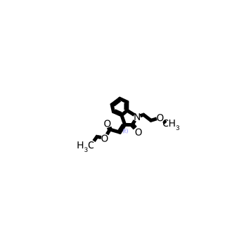 CCOC(=O)/C=C1/C(=O)N(CCOC)c2ccccc21